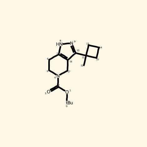 CC(C)(C)OC(=O)N1CCc2[nH]nc(C3(C)CCC3)c2C1